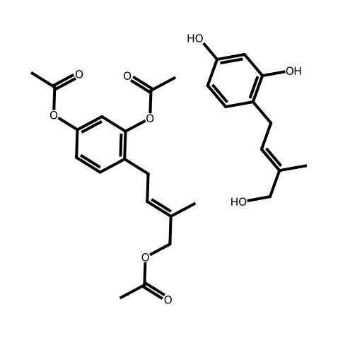 C/C(=C\Cc1ccc(O)cc1O)CO.CC(=O)OC/C(C)=C/Cc1ccc(OC(C)=O)cc1OC(C)=O